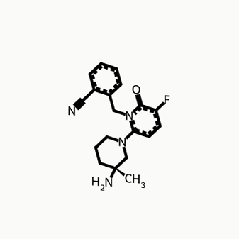 C[C@@]1(N)CCCN(c2ccc(F)c(=O)n2Cc2ccccc2C#N)C1